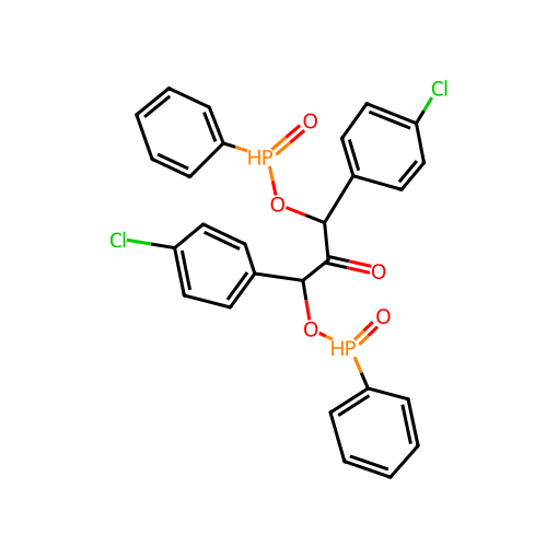 O=C(C(O[PH](=O)c1ccccc1)c1ccc(Cl)cc1)C(O[PH](=O)c1ccccc1)c1ccc(Cl)cc1